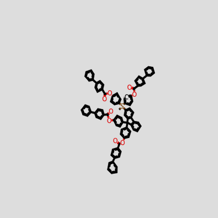 CS(c1ccc(OC(=O)c2ccc(-c3ccccc3)cc2)cc1)(c1ccc(OC(=O)c2ccc(-c3ccccc3)cc2)cc1)c1ccc2c(c1)C(c1ccc(OC(=O)c3ccc(-c4ccccc4)cc3)cc1)(c1ccc(OC(=O)c3ccc(-c4ccccc4)cc3)cc1)c1ccccc1-2